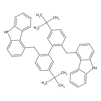 CC(C)(C)c1ccc(Cc2cccc3[pH]c4ccccc4c23)c(-c2cc(C(C)(C)C)ccc2Cc2cccc3[pH]c4ccccc4c23)c1